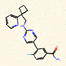 NC(=O)c1ccc(F)c(-c2cnc(NCC3(c4ccccn4)CCC3)nc2)c1